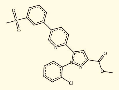 COC(=O)c1cc(-c2ccc(-c3cccc(S(C)(=O)=O)c3)cn2)n(-c2ccccc2Cl)n1